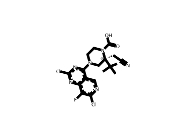 CC(C)(C)[C@@]1(CC#N)CN(c2nc(Cl)nc3c(F)c(Cl)ncc23)CCN1C(=O)O